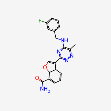 Cc1nnc(C2=COC3C(C(N)=O)=CC=CC23)nc1NCc1cccc(F)c1